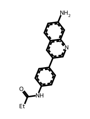 CCC(=O)Nc1ccc(-c2cnc3cc(N)ccc3c2)cc1